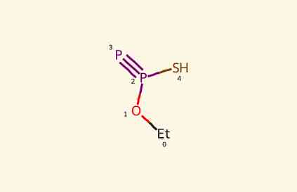 CCOP(#P)S